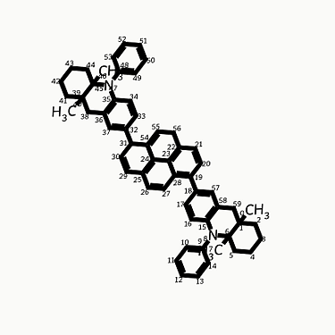 CC12CCCCC1(C)N(c1ccccc1)c1ccc(-c3ccc4c5c6c(ccc35)C=CC(c3ccc5c(c3)CC3(C)CCCCC3(C)N5c3ccccc3)C6=CC4)cc1C2